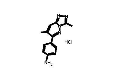 Cc1cc2nnc(C)n2nc1-c1ccc(N)cc1.Cl